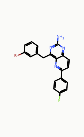 Nc1nc(Cc2cccc(Br)c2)c2nc(-c3ccc(F)cc3)ccc2n1